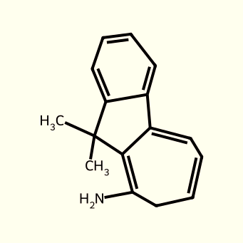 CC1(C)C2=C(N)CC=CC=C2c2ccccc21